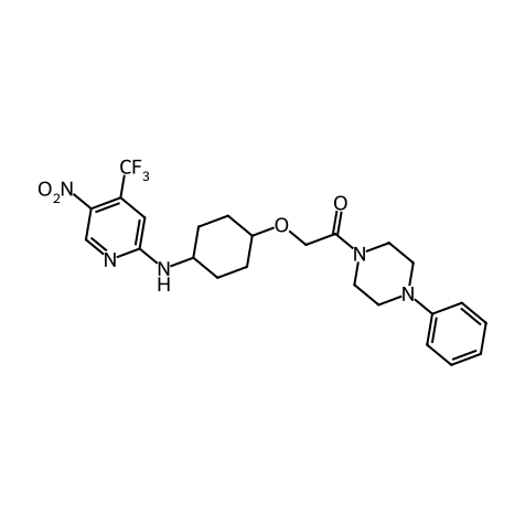 O=C(COC1CCC(Nc2cc(C(F)(F)F)c([N+](=O)[O-])cn2)CC1)N1CCN(c2ccccc2)CC1